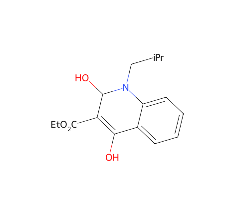 CCOC(=O)C1=C(O)c2ccccc2N(CC(C)C)C1O